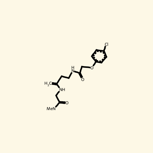 C=C(CCNC(=O)COc1ccc(Cl)cc1)NCC(=O)NC